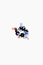 Cc1cc(C(=O)N2CCC(CCO)CC2)ccc1Nc1nccc(-c2cnc3c(c2)C(C)(C)CN3)n1